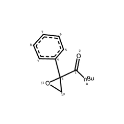 CCCCC(=O)C1(c2ccccc2)CO1